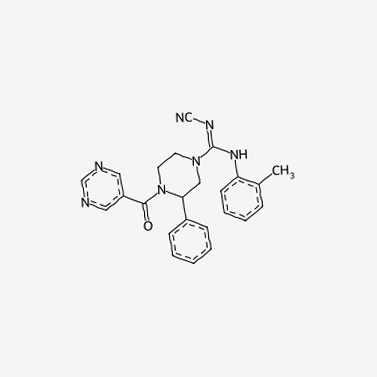 Cc1ccccc1N/C(=N/C#N)N1CCN(C(=O)c2cncnc2)C(c2ccccc2)C1